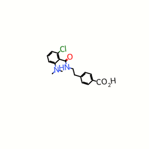 CN(C)c1cccc(Cl)c1C(=O)NCCc1ccc(C(=O)O)cc1